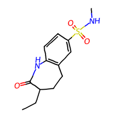 CCC1CCc2cc(S(=O)(=O)NC)ccc2NC1=O